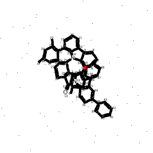 Cc1ccc(-c2cccc3c4cccc(-c5ccc(C)cc5C)c4n(-c4cccc5c4C(=O)N(c4ccc(-c6ccccc6)cc4-c4ccccc4)C5=O)c23)c(C)c1